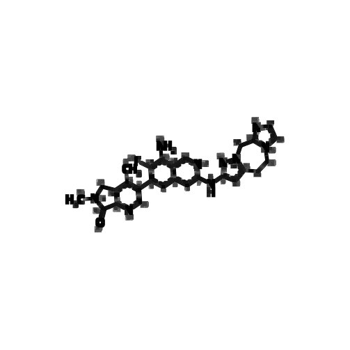 Cc1c(-c2cc3cc(Nc4cc5n(n4)Cc4nccn4CC5)ncc3c(N)c2F)cnc2c1CN(C)C2=O